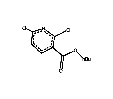 CCCCOC(=O)c1ccc(Cl)nc1Cl